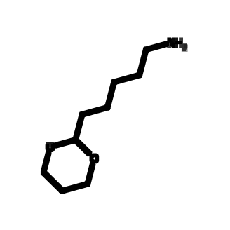 NCCCCCC1OCCCO1